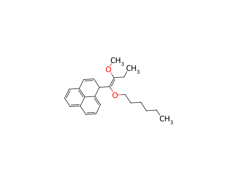 CCCCCCOC(=C(CC)OC)C1C=Cc2cccc3cccc1c23